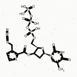 Cc1cn([C@H]2CC(OC(=O)c3sccc3CN=[N+]=[N-])[C@@H](COP(=O)(O)OP(=O)(O)OP(=O)(O)O)O2)c(=O)[nH]c1=O